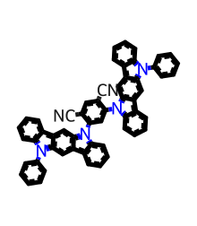 N#Cc1cc(C#N)c(-n2c3ccccc3c3cc4c(cc32)c2ccccc2n4-c2ccccc2)cc1-n1c2ccccc2c2cc3c(cc21)c1ccccc1n3-c1ccccc1